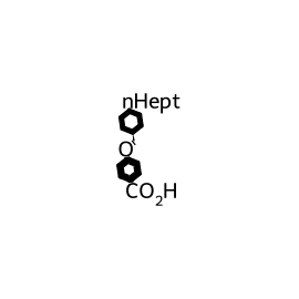 CCCCCCC[C@H]1CC[C@H](COc2ccc(C(=O)O)cc2)CC1